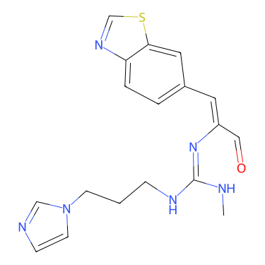 CN/C(=N\C(C=O)=C/c1ccc2ncsc2c1)NCCCn1ccnc1